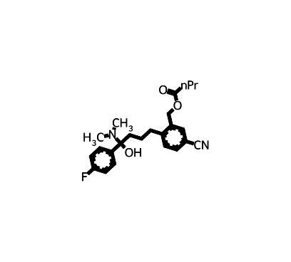 CCCC(=O)OCc1cc(C#N)ccc1CCCC(O)(c1ccc(F)cc1)N(C)C